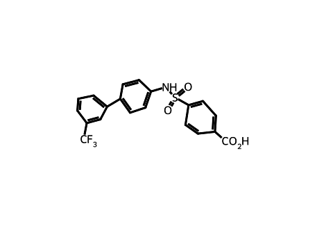 O=C(O)c1ccc(S(=O)(=O)Nc2ccc(-c3cccc(C(F)(F)F)c3)cc2)cc1